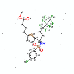 COC(=O)CCCc1ccc(C(CCC(F)(F)C(F)(F)C(F)(F)F)NS(=O)(=O)c2ccc(F)cc2)s1